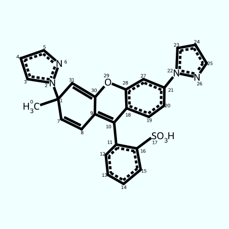 CC1(n2cccn2)C=CC2=C(c3ccccc3S(=O)(=O)O)c3ccc(-n4cccn4)cc3OC2=C1